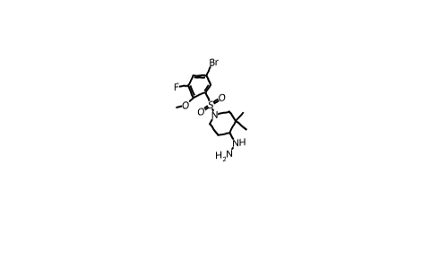 COc1c(F)cc(Br)cc1S(=O)(=O)N1CCC(NN)C(C)(C)C1